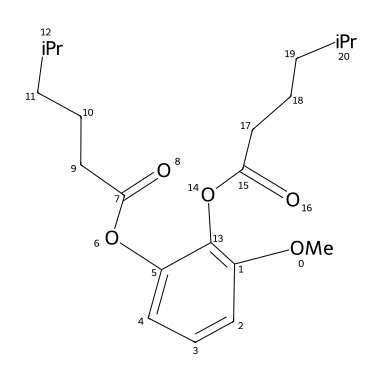 COc1cccc(OC(=O)CCCC(C)C)c1OC(=O)CCCC(C)C